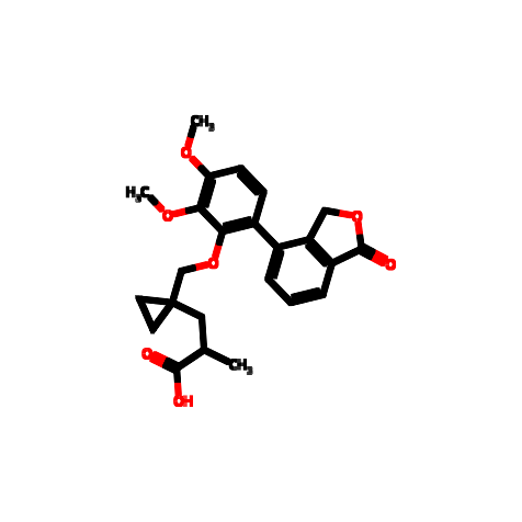 COc1ccc(-c2cccc3c2COC3=O)c(OCC2(CC(C)C(=O)O)CC2)c1OC